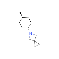 C[C@H]1CC[C@H](N2CC3(CC3)C2)CC1